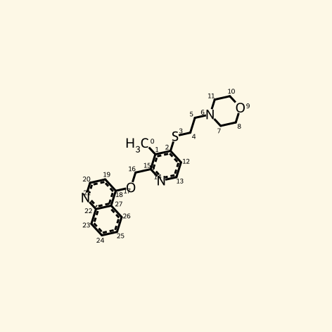 Cc1c(SCCN2CCOCC2)ccnc1COc1ccnc2ccccc12